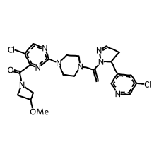 C=C(N1CCN(c2ncc(Cl)c(C(=O)N3CC(OC)C3)n2)CC1)N1N=CCC1c1cncc(Cl)c1